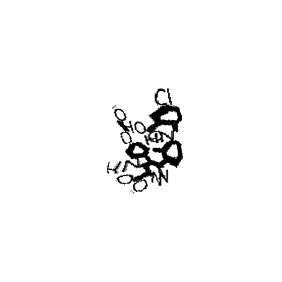 COCCOc1ccc2c(c1)[nH]c1c(C(=O)OC)nnc(-c3cccc(NCc4ccc(Cl)cc4C(=O)O)c3C)c12